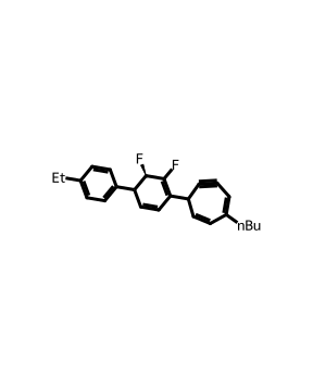 CCCCC1=CC#CC(C2=C(F)[C@H](F)C(c3ccc(CC)cc3)C=C2)C=C1